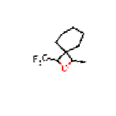 CC1OC(C(F)(F)F)C12CCCCC2